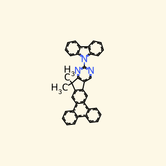 CC1(C)c2cc3c4ccccc4c4ccccc4c3cc2-c2cnc(-n3c4ccccc4c4ccccc43)nc21